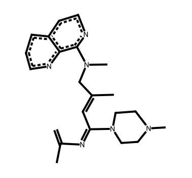 C=C(C)/N=C(\C=C(/C)CN(C)c1nccc2cccnc12)N1CCN(C)CC1